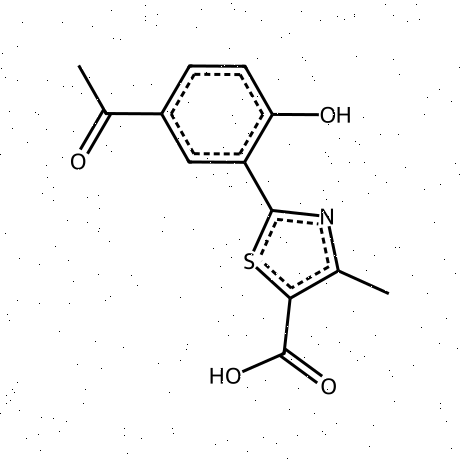 CC(=O)c1ccc(O)c(-c2nc(C)c(C(=O)O)s2)c1